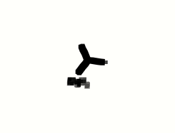 [CH2]C(C)C.[MgH2]